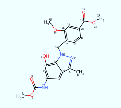 COC(=O)Nc1cc(O)c2c(c1)c(C)nn2Cc1ccc(C(=O)OC)cc1OC